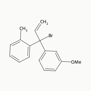 C=CC(Br)(c1cccc(OC)c1)c1ccccc1C